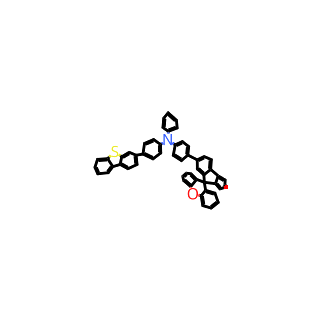 c1ccc(N(c2ccc(-c3ccc4c(c3)C3(c5ccccc5Oc5ccccc53)c3ccccc3-4)cc2)c2ccc(-c3ccc4c(c3)sc3ccccc34)cc2)cc1